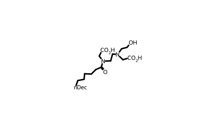 CCCCCCCCCCCCCCCC(=O)N(CCN(CCO)CC(=O)O)CC(=O)O